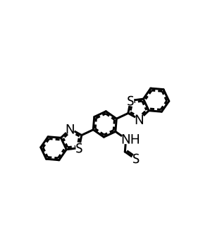 S=CNc1cc(-c2nc3ccccc3s2)ccc1-c1nc2ccccc2s1